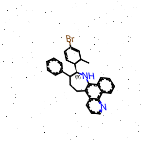 CC1C=C(Br)C=CC1[C@H]1Nc2c(c3cccnc3c3ccccc23)CCC1c1ccccc1